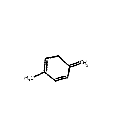 C=C1C=CC(C)=CC1